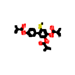 C=C(C)C(=O)Oc1ccc(-c2cc(OC(=O)C(=C)C)c(OC(=O)C(=C)C)cc2SC)cc1